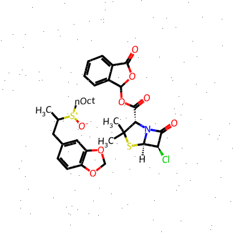 CC1(C)S[C@@H]2[C@H](Cl)C(=O)N2[C@H]1C(=O)OC1OC(=O)c2ccccc21.CCCCCCCC[S+]([O-])C(C)Cc1ccc2c(c1)OCO2